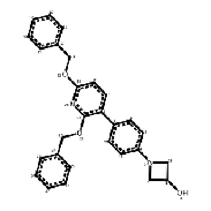 OC1CN(c2ccc(-c3ccc(OCc4ccccc4)nc3OCc3ccccc3)cc2)C1